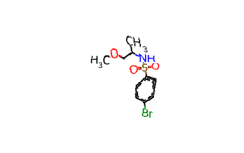 COCC(C)NS(=O)(=O)c1ccc(Br)cc1